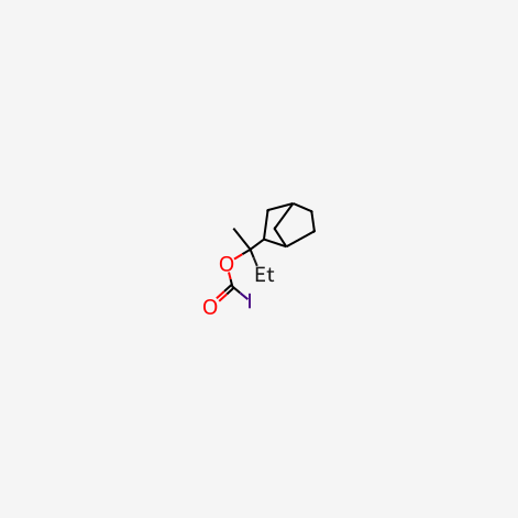 CCC(C)(OC(=O)I)C1CC2CCC1C2